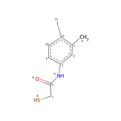 Cc1cc(NC(=O)CS)ccc1I